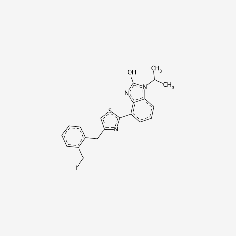 CC(C)n1c(O)nc2c(-c3nc(Cc4ccccc4CI)cs3)cccc21